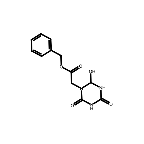 O=C1NC(=O)N(CC(=O)OCc2ccccc2)C(O)N1